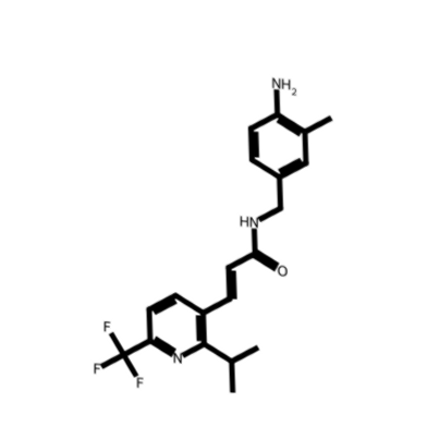 Cc1cc(CNC(=O)/C=C/c2ccc(C(F)(F)F)nc2C(C)C)ccc1N